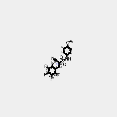 COc1ccc(NS(=O)(=O)/C(C#N)=C/c2c(F)c(F)c(F)c(F)c2F)cc1